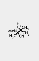 CNC(C)(C#N)C(C)(C)C